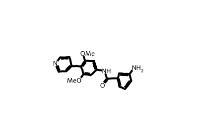 COc1cc(NC(=O)c2cccc(N)c2)cc(OC)c1-c1ccncc1